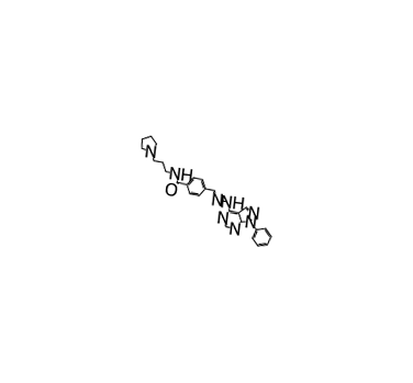 O=C(NCCCN1CCCC1)c1ccc(/C=N/Nc2ncnc3c2cnn3-c2ccccc2)cc1